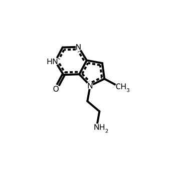 Cc1cc2nc[nH]c(=O)c2n1CCN